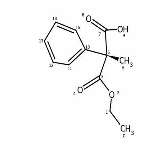 CCOC(=O)[C@@](C)(C(=O)O)c1ccccc1